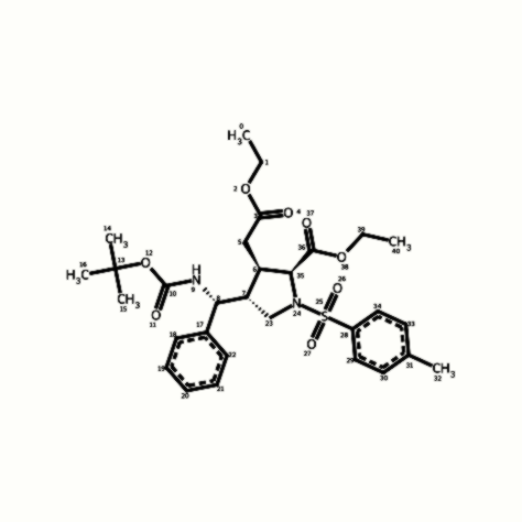 CCOC(=O)C[C@@H]1[C@@H]([C@@H](NC(=O)OC(C)(C)C)c2ccccc2)CN(S(=O)(=O)c2ccc(C)cc2)[C@@H]1C(=O)OCC